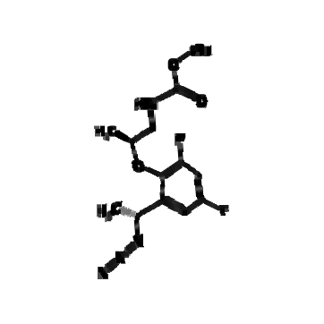 C[C@@H](CNC(=O)OC(C)(C)C)Oc1c(F)cc(F)cc1[C@@H](C)N=[N+]=[N-]